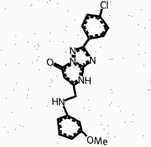 COc1cccc(NCc2cc(=O)n3nc(-c4ccc(Cl)cc4)nc3[nH]2)c1